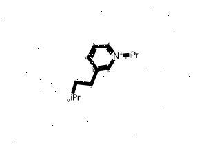 CC(C)CCc1ccc[n+](C(C)C)c1